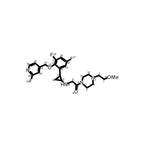 COCCN1CCN(C(=O)CNC2CC2c2cc(F)cc(F)c2OCc2ccnc(F)c2)CC1